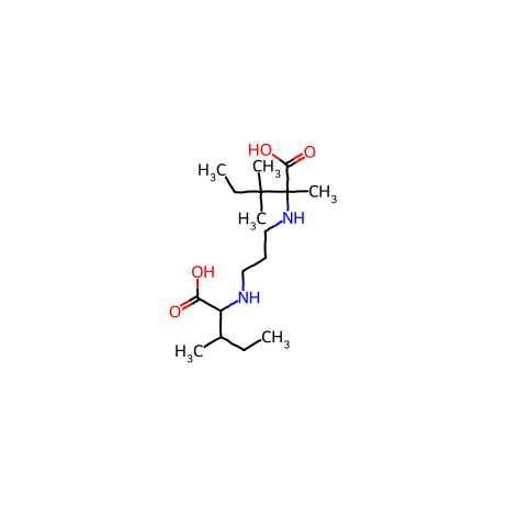 CCC(C)C(NCCCNC(C)(C(=O)O)C(C)(C)CC)C(=O)O